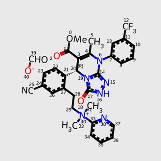 COC(=O)C1=C(C)N(c2cccc(C(F)(F)F)c2)c2n[nH]c(=O)n2[C@@H]1c1ccc(C#N)cc1CC[N+](C)(C)c1ccccn1.O=C[O-]